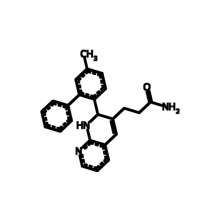 Cc1ccc(C2Nc3ncccc3C=C2CCC(N)=O)c(-c2ccccc2)c1